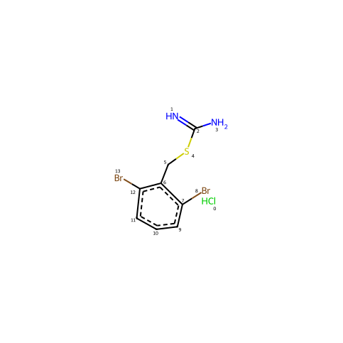 Cl.N=C(N)SCc1c(Br)cccc1Br